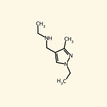 CCNCc1cn(CC)nc1C